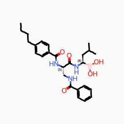 CCCCc1ccc(C(=O)N[C@@H](CNC(=O)c2ccccc2)C(=O)N[C@@H](CC(C)C)B(O)O)cc1